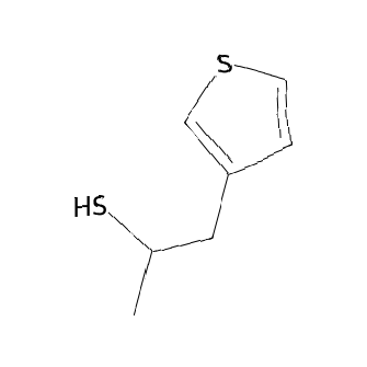 CC(S)Cc1ccsc1